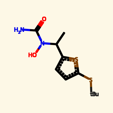 CC(c1ccc(SC(C)(C)C)s1)N(O)C(N)=O